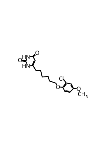 COc1ccc(OCCCCCCc2cc(=O)[nH]c(=O)[nH]2)c(Cl)c1